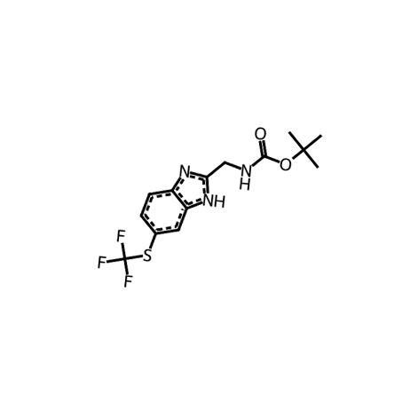 CC(C)(C)OC(=O)NCc1nc2ccc(SC(F)(F)F)cc2[nH]1